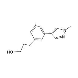 Cn1cc(-c2c[c]cc(CCCO)c2)cn1